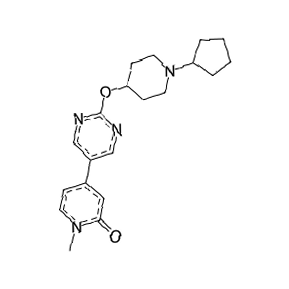 Cn1ccc(-c2cnc(OC3CCN(C4CCCC4)CC3)nc2)cc1=O